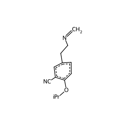 C=NCCc1ccc(OC(C)C)c(C#N)c1